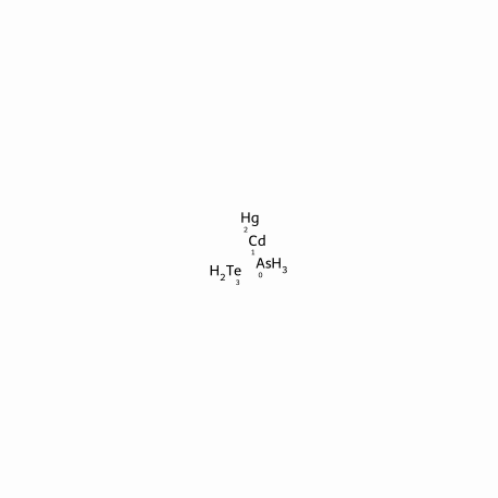 [AsH3].[Cd].[Hg].[TeH2]